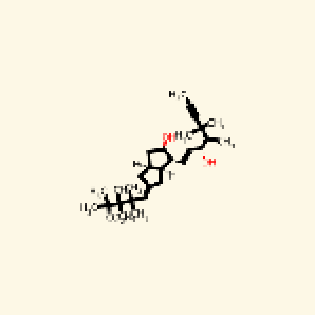 CC#CC(C)(C)C(C)[C@H](O)/C=C/[C@@H]1[C@H]2C/C(=C/C(C)(C)C(C)(C)C(C)(C)C(=O)O)C[C@H]2C[C@H]1O